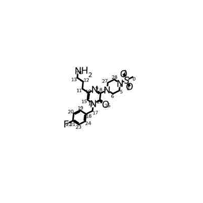 CS(=O)(=O)N1CCN(c2nc(CCCN)cn(Cc3ccc(F)cc3)c2=O)CC1